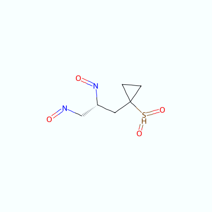 O=NC[C@@H](CC1([SH](=O)=O)CC1)N=O